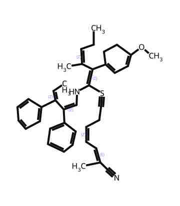 C/C=C(\C(=C/N/C(S#CC/C=C\C=C(/C)C#N)=C(C1=CC=C(OC)CC1)\C(C)=C/CC)c1ccccc1)c1ccccc1